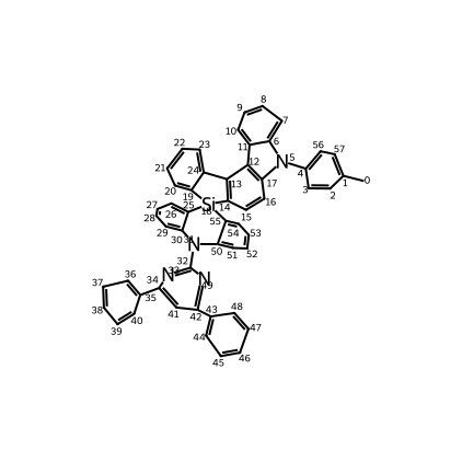 Cc1ccc(-n2c3ccccc3c3c4c(ccc32)[Si]2(c3ccccc3-4)c3ccccc3N(c3nc(-c4ccccc4)cc(-c4ccccc4)n3)c3ccccc32)cc1